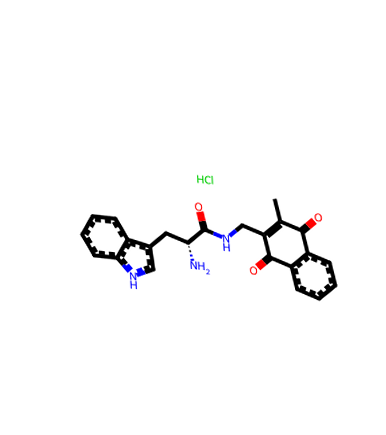 CC1=C(CNC(=O)[C@H](N)Cc2c[nH]c3ccccc23)C(=O)c2ccccc2C1=O.Cl